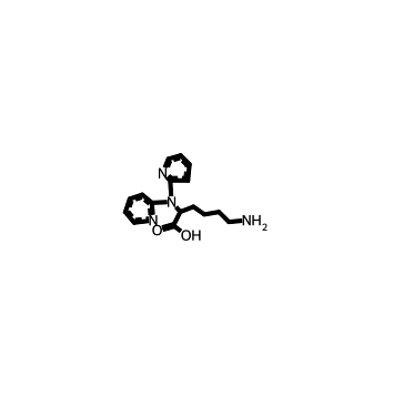 NCCCCC(C(=O)O)N(c1ccccn1)c1ccccn1